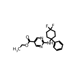 CCOC(=O)c1cnc(NC2(c3ccccc3)CCC(F)(F)CC2)nc1